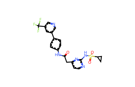 O=C(Cc1ccnc(NS(=O)(=O)C2CC2)n1)Nc1ccc(-c2cncc(C(F)(F)F)c2)cc1